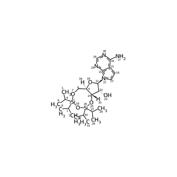 CC(C)[Si]1(C(C)C)OC[C@H]2O[C@@H](n3ccc4c(N)ncnc43)[C@H](O)[C@@H]2O[Si](C(C)C)(C(C)C)O1